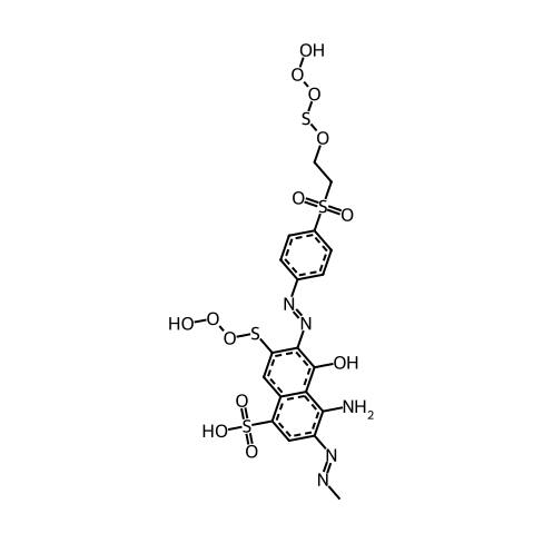 C/N=N/c1cc(S(=O)(=O)O)c2cc(SOOO)c(/N=N/c3ccc(S(=O)(=O)CCOSOOO)cc3)c(O)c2c1N